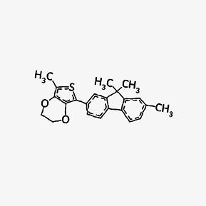 Cc1ccc2c(c1)C(C)(C)c1cc(-c3sc(C)c4c3OCCO4)ccc1-2